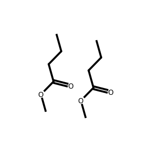 CCCC(=O)OC.CCCC(=O)OC